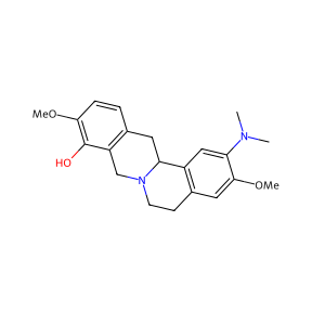 COc1cc2c(cc1N(C)C)C1Cc3ccc(OC)c(O)c3CN1CC2